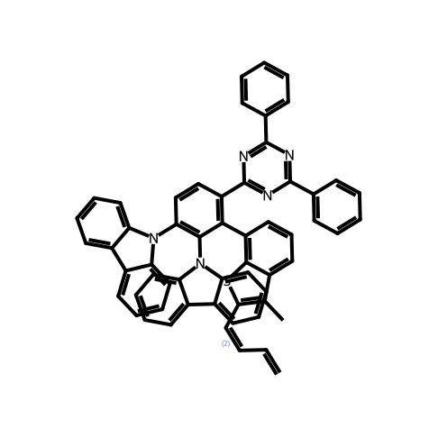 C=C/C=C\c1sc2c(-c3c(-c4nc(-c5ccccc5)nc(-c5ccccc5)n4)ccc(-n4c5ccccc5c5ccccc54)c3-n3c4ccccc4c4ccccc43)cccc2c1C